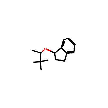 CC(OC1CCc2ccccc21)C(C)(C)C